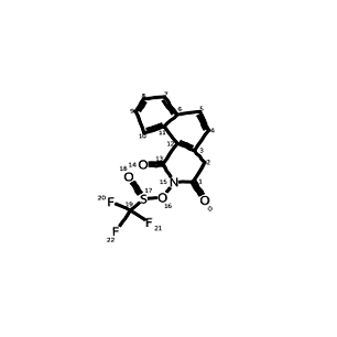 O=C1Cc2ccc3ccccc3c2C(=O)N1OS(=O)C(F)(F)F